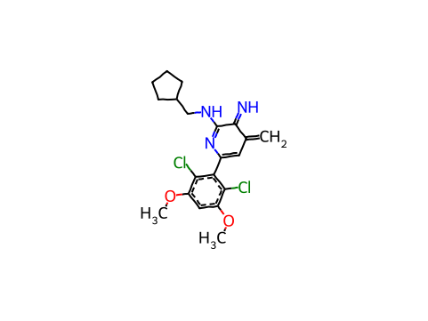 C=C1C=C(c2c(Cl)c(OC)cc(OC)c2Cl)N=C(NCC2CCCC2)C1=N